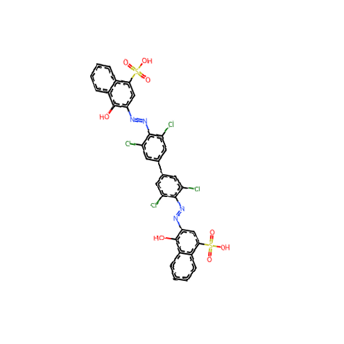 O=S(=O)(O)c1cc(/N=N/c2c(Cl)cc(-c3cc(Cl)c(/N=N/c4cc(S(=O)(=O)O)c5ccccc5c4O)c(Cl)c3)cc2Cl)c(O)c2ccccc12